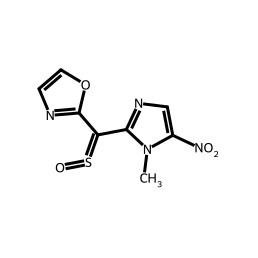 Cn1c([N+](=O)[O-])cnc1C(=S=O)c1ncco1